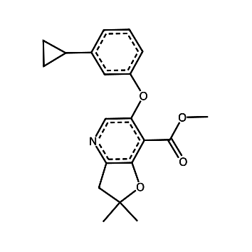 COC(=O)c1c(Oc2cccc(C3CC3)c2)cnc2c1OC(C)(C)C2